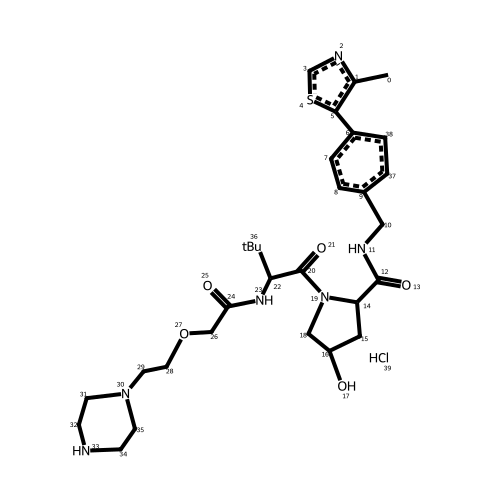 Cc1ncsc1-c1ccc(CNC(=O)C2CC(O)CN2C(=O)C(NC(=O)COCCN2CCNCC2)C(C)(C)C)cc1.Cl